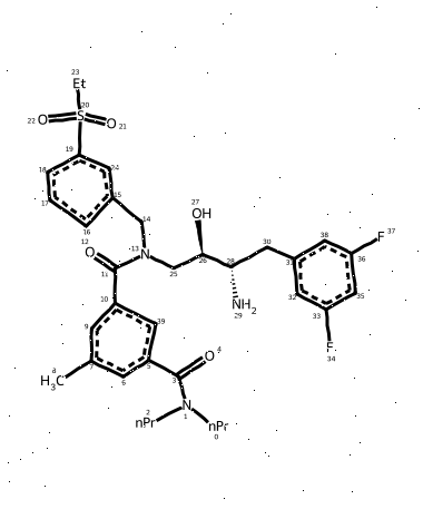 CCCN(CCC)C(=O)c1cc(C)cc(C(=O)N(Cc2cccc(S(=O)(=O)CC)c2)C[C@@H](O)[C@@H](N)Cc2cc(F)cc(F)c2)c1